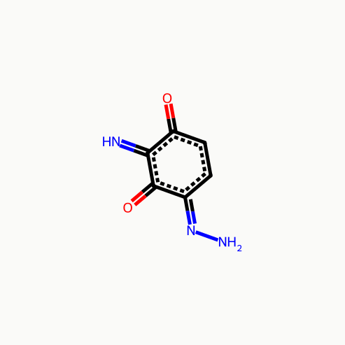 N=c1c(=O)cc/c(=N\N)c1=O